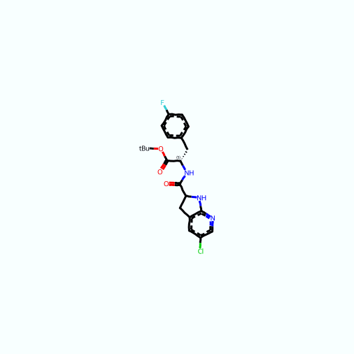 CC(C)(C)OC(=O)[C@H](Cc1ccc(F)cc1)NC(=O)C1Cc2cc(Cl)cnc2N1